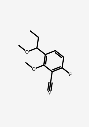 CCC(OC)c1ccc(F)c(C#N)c1OC